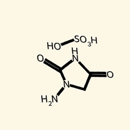 NN1CC(=O)NC1=O.O=S(=O)(O)O